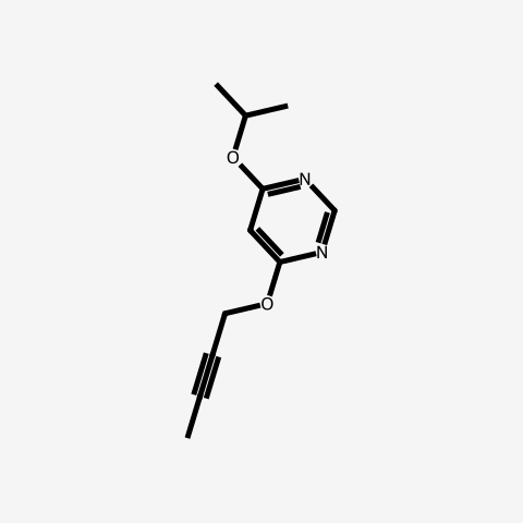 CC#CCOc1cc(OC(C)C)ncn1